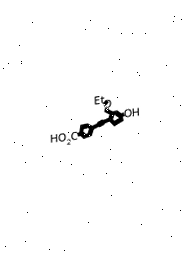 CCOCc1cc(O)ccc1C#Cc1ccc(C(=O)O)cc1